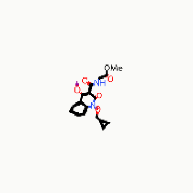 COC(=O)CNC(=O)c1c(OI)c2ccccc2n(OCC2CC2)c1=O